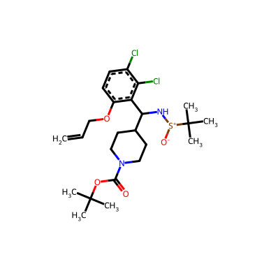 C=CCOc1ccc(Cl)c(Cl)c1C(N[S+]([O-])C(C)(C)C)C1CCN(C(=O)OC(C)(C)C)CC1